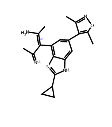 CC(=N)/C(=C(/C)N)c1cc(-c2c(C)noc2C)cc2[nH]c(C3CC3)nc12